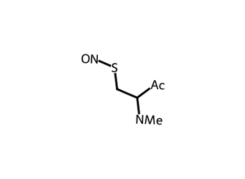 CNC(CSN=O)C(C)=O